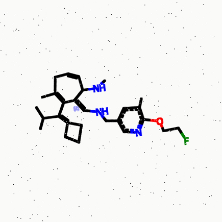 CNC1C=CCC(C)=C(C(=C2CCC2)C(C)C)/C1=C/NCc1cnc(OCCF)c(C)c1